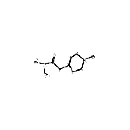 CC(C)N1CCC(CC(=O)N(C)C(C)C)CC1